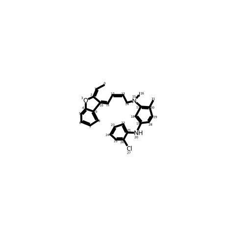 C/C=c1/oc2ccccc2/c1=C/C=C\CN(I)c1cc(Nc2ccccc2Cl)ccc1C